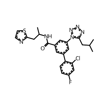 CC(C)Cc1nnnn1-c1cc(C(=O)NC(C)Cc2nccs2)cc(-c2ccc(F)cc2Cl)c1